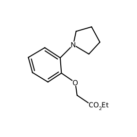 CCOC(=O)COc1ccccc1N1CCCC1